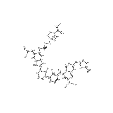 COC(=O)C12CCC(CCNCc3cc4nc(-c5cccc(-c6cccc(Nc7nc(C(F)F)nc8cc(CN9CCC(O)C9)cnc78)c6C)c5C)oc4cc3OC(F)F)(CC1)C2